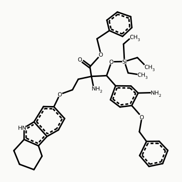 CC[Si](CC)(CC)OC(c1ccc(OCc2ccccc2)c(N)c1)C(N)(CCOc1ccc2c3c([nH]c2c1)CCCC3)C(=O)OCc1ccccc1